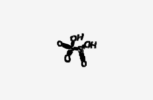 O=[Si](O)S(=O)(=O)O